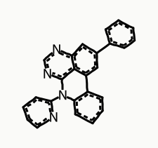 c1ccc(-c2cc3c4c(ncnc4c2)N(c2ccccn2)c2ccccc2-3)cc1